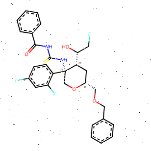 O=C(NC(=S)N[C@@]1(c2ccc(F)cc2F)CO[C@@H](COCc2ccccc2)C[C@H]1C(O)CF)c1ccccc1